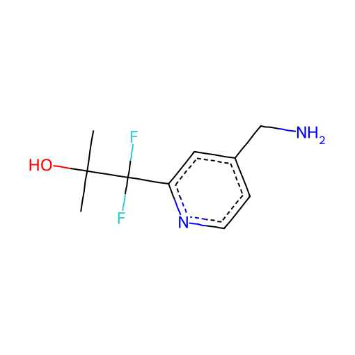 CC(C)(O)C(F)(F)c1cc(CN)ccn1